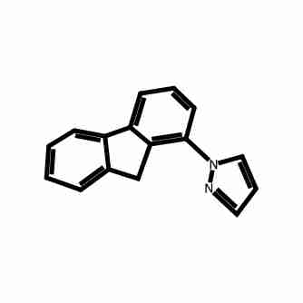 c1ccc2c(c1)Cc1c-2cccc1-n1cccn1